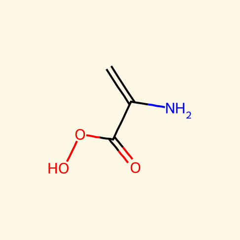 C=C(N)C(=O)OO